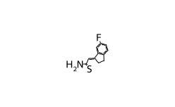 NC(=S)C=C1CCc2ccc(F)cc21